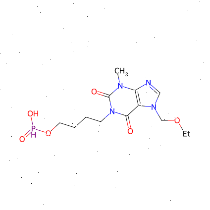 CCOCn1cnc2c1c(=O)n(CCCCO[PH](=O)O)c(=O)n2C